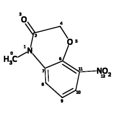 CN1C(=O)COc2c1cccc2[N+](=O)[O-]